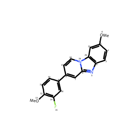 COc1ccc2nc3cc(-c4ccc(OC)c(F)c4)ccn3c2c1